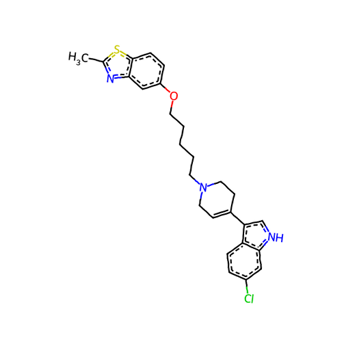 Cc1nc2cc(OCCCCCN3CC=C(c4c[nH]c5cc(Cl)ccc45)CC3)ccc2s1